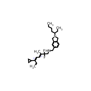 C=C/C(=C\C=C(/C)C(F)(F)CNCc1ccc2c(c1)CN(C(CC)CCCC)C2)C1CC1